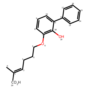 CC(=CCCCOc1cccc(-c2ccccc2)c1O)C(=O)O